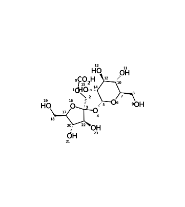 O=C(O)OC[C@@]1(O[C@H]2O[C@H](CO)[C@@H](O)[C@H](O)[C@H]2O)O[C@H](CO)[C@@H](O)[C@@H]1O